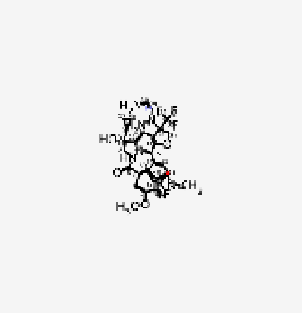 COc1cc(C(=O)NC[C@](O)(c2cc3c(c(-c4ccc(F)cc4)n2)OC[C@@]3(N(N)/C=C\N)C(F)(F)F)C2CC2)cc2cn(C)nc12